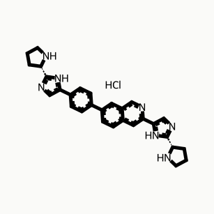 Cl.c1cc(-c2cnc([C@@H]3CCCN3)[nH]2)ccc1-c1ccc2cc(-c3cnc([C@@H]4CCCN4)[nH]3)ncc2c1